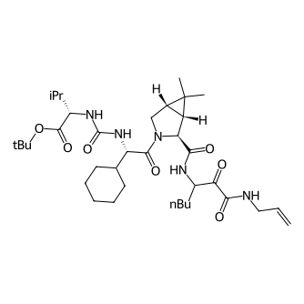 C=CCNC(=O)C(=O)C(CCCC)NC(=O)[C@@H]1[C@@H]2[C@H](CN1C(=O)[C@@H](NC(=O)N[C@H](C(=O)OC(C)(C)C)C(C)C)C1CCCCC1)C2(C)C